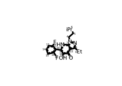 CCc1nn(CCC(C)C)c2[nH]c(-c3c(F)cccc3F)c(O)c(=O)c12